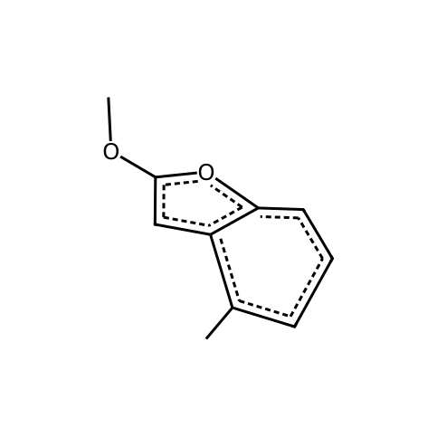 COc1cc2c(C)cccc2o1